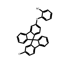 N#Cc1ccccc1Oc1ccc2c(c1)-c1ccccc1C21c2ccccc2-c2ccc(Cl)cc21